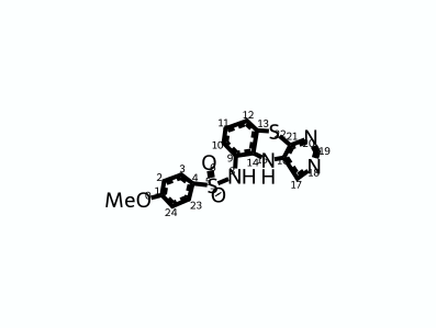 COc1ccc(S(=O)(=O)Nc2cccc3c2Nc2cncnc2S3)cc1